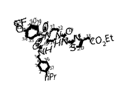 CCCc1ccc(CNC(=O)[C@H]2CN(C(=O)Nc3nc(CC(=O)OCC)cs3)CCN2S(=O)(=O)c2ccc(OC(F)(F)F)cc2)cc1